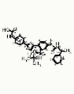 CC(NC(=O)Nc1ccc(-c2cnc(C34CCC(NC(=O)O)(CC3)CC4)s2)c(S(=O)(=O)NC(C)(C)C)c1)c1ccccn1